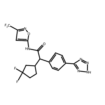 O=C(Nc1cc(C(F)(F)F)no1)C(c1ccc(-c2nn[nH]n2)cc1)C1CCC(F)(F)C1